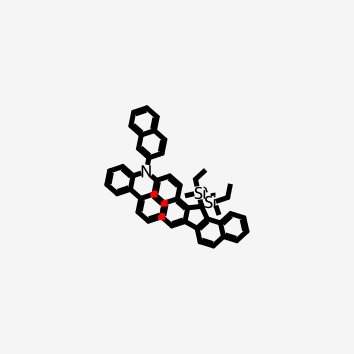 CC[Si](C)(C)C1([Si](C)(C)CC)c2c(ccc3ccccc23)-c2ccc3cc(N(c4ccc5ccccc5c4)c4ccccc4-c4ccccc4)ccc3c21